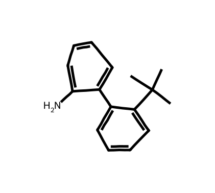 CC(C)(C)c1ccccc1-c1ccccc1N